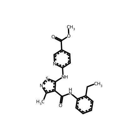 CCc1ccccc1NC(=O)c1c(C)nsc1Nc1ccc(C(=O)OC)cn1